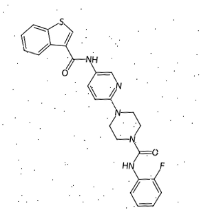 O=C(Nc1ccc(N2CCN(C(=O)Nc3ccccc3F)CC2)nc1)c1csc2ccccc12